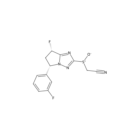 N#CC[S+]([O-])c1nc2n(n1)[C@H](c1cccc(F)c1)C[C@@H]2F